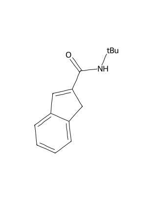 CC(C)(C)NC(=O)C1=Cc2ccccc2C1